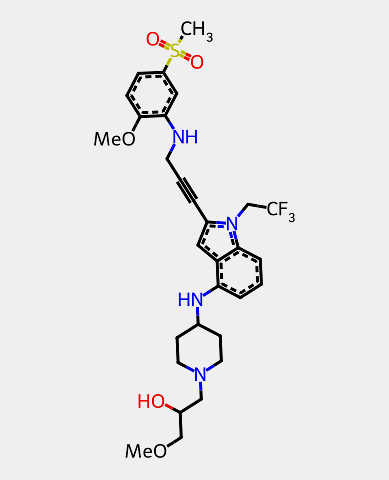 COCC(O)CN1CCC(Nc2cccc3c2cc(C#CCNc2cc(S(C)(=O)=O)ccc2OC)n3CC(F)(F)F)CC1